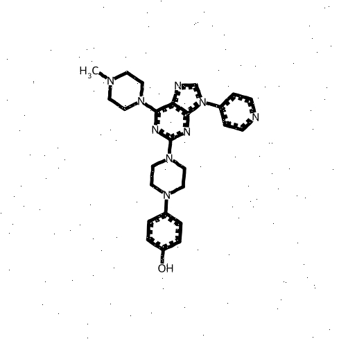 CN1CCN(c2nc(N3CCN(c4ccc(O)cc4)CC3)nc3c2ncn3-c2ccncc2)CC1